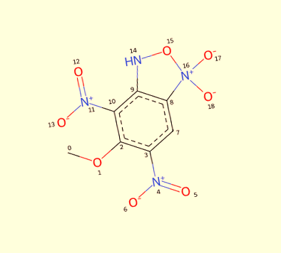 COc1c([N+](=O)[O-])cc2c(c1[N+](=O)[O-])NO[N+]2([O-])[O-]